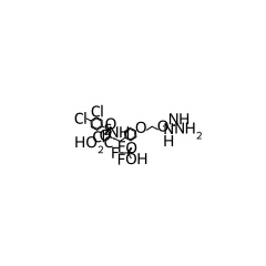 N=C(N)NOCCCOc1ccc(C[C@H](NS(=O)(=O)c2cc(Cl)c(Cl)cc2Cl)C(=O)O)cc1.O=C(O)C(F)(F)F